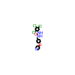 O=C(NCc1ccc(Oc2ccncc2)cc1)Nc1cc(Cl)c(Cl)cc1Cl